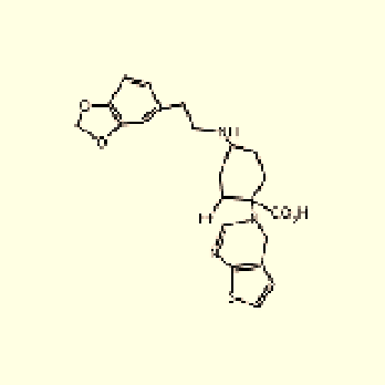 CCC1CC(NCCc2ccc3c(c2)OCO3)CCC1(C(=O)O)N1C=Nc2sccc2C1